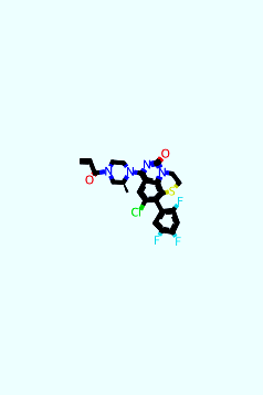 C=CC(=O)N1CCN(c2nc(=O)n3c4c(c(-c5cc(F)c(F)cc5F)c(Cl)cc24)SCC3)[C@@H](C)C1